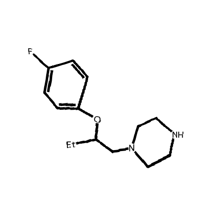 CCC(CN1CCNCC1)Oc1ccc(F)cc1